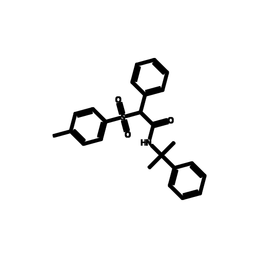 Cc1ccc(S(=O)(=O)C(C(=O)NC(C)(C)c2ccccc2)c2ccccc2)cc1